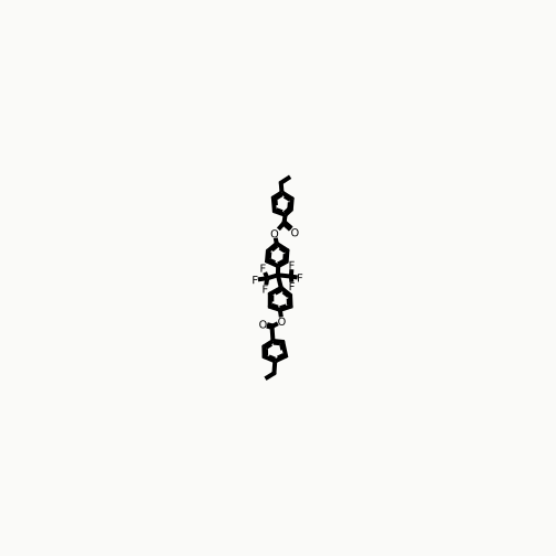 CCc1ccc(C(=O)Oc2ccc(C(c3ccc(OC(=O)c4ccc(CC)cc4)cc3)(C(F)(F)F)C(F)(F)F)cc2)cc1